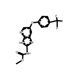 COC(=O)Nc1nc2cc(Oc3ccc(C(F)(F)F)cc3)cnc2[nH]1